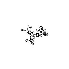 COc1ccc(C(=O)OC(Cc2c(Cl)c[n+]([O-])cc2Cl)c2ccc(OC(F)F)c(OCC3CC3)c2)cc1OC(=O)C1CCCN1C(=O)OC(C)(C)C